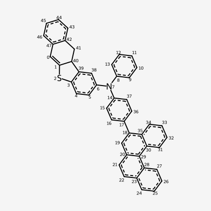 C1=C2Sc3ccc(N(c4ccccc4)c4ccc(-c5cc6ccc7ccccc7c6c6ccccc56)cc4)cc3C2Cc2ccccc21